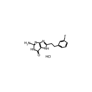 Cl.Nc1nc2nc(CCc3cccc(F)c3)[nH]c2c(=O)[nH]1